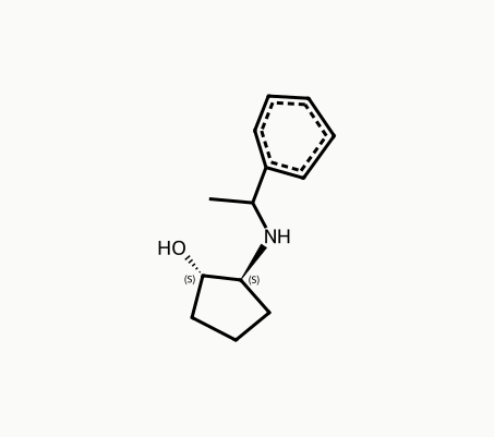 CC(N[C@H]1CCC[C@@H]1O)c1ccccc1